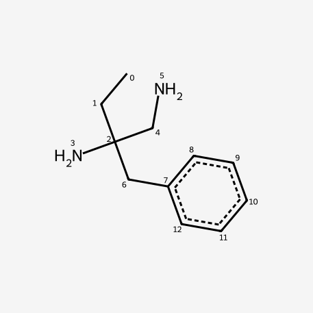 CCC(N)(CN)Cc1ccccc1